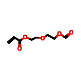 C=CC(=O)OCCOCCOC=O